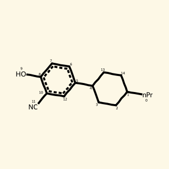 CCCC1CCC(c2ccc(O)c(C#N)c2)CC1